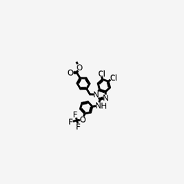 COC(=O)c1ccc(Cn2c(Nc3cccc(OC(F)(F)F)c3)nc3cc(Cl)c(Cl)cc32)cc1